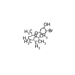 CC(C)[Si](Oc1ccc(Br)c(O)c1)(C(C)C)C(C)C